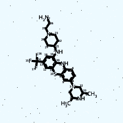 CC1CN(c2ccc3c(c2)Sc2cc(C(F)(F)F)cc(NC4CCN(CCN)CC4)c2N3)CC(C)N1